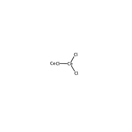 [Ce].[Cl][Ce]([Cl])[Cl]